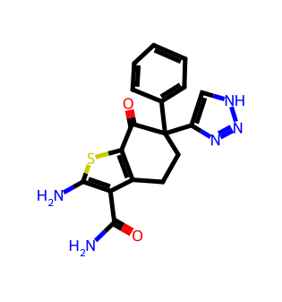 NC(=O)c1c(N)sc2c1CCC(c1ccccc1)(c1c[nH]nn1)C2=O